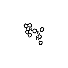 c1ccc(-c2ccc(N(c3ccccc3)c3ccc(N4c5c(ccc6ccccc56)-c5cccc6cccc4c56)cc3)cn2)cc1